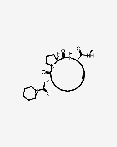 CNC(=O)[C@H]1C/C=C\CCCCC[C@H](CC(=O)N2CCCCC2)C(=O)N2CCC[C@H]2C(=O)N1